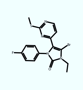 CCn1c(Br)c(-c2ccnc(SC)n2)n(-c2ccc(F)cc2)c1=O